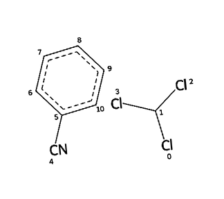 ClC(Cl)Cl.N#Cc1ccccc1